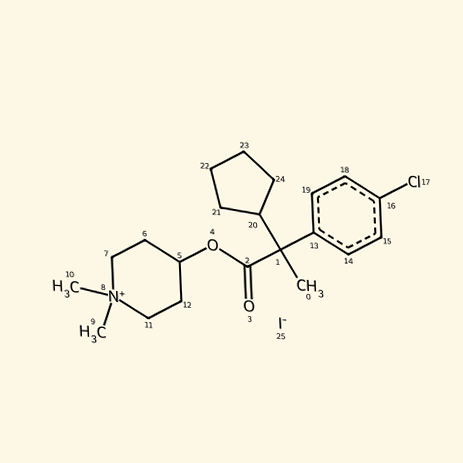 CC(C(=O)OC1CC[N+](C)(C)CC1)(c1ccc(Cl)cc1)C1CCCC1.[I-]